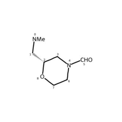 CNC[C@@H]1CN(C=O)CCO1